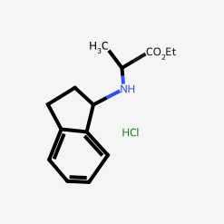 CCOC(=O)C(C)NC1CCc2ccccc21.Cl